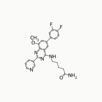 COc1cc(-c2ccc(F)c(F)c2)cc2c(NCCCCC(N)=O)nc(-c3cccnc3)nc12